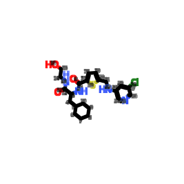 O=C(NC(CC1CCCCC1)C(=O)NCCO)c1ccc(CNc2cncc(Cl)c2)s1